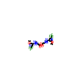 CC(C)Oc1cc(-c2ncn(C=CC(=O)OC(=O)C=Cn3cnc(-c4cc(OC(C)C)nc(C(F)(F)F)c4)n3)n2)cc(C(F)(F)F)n1